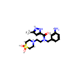 Nc1cccc(CN(CCN2CCS(=O)(=O)CC2)C(=O)c2cc(C(F)(F)F)n[nH]2)c1